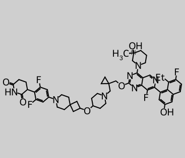 CCc1c(F)ccc2cc(O)cc(-c3ncc4c(N5CCC[C@@](C)(O)C5)nc(OCC5(CN6CCC(OC7CC8(CCN(c9cc(F)c(C%10CCC(=O)NC%10=O)c(F)c9)CC8)C7)CC6)CC5)nc4c3F)c12